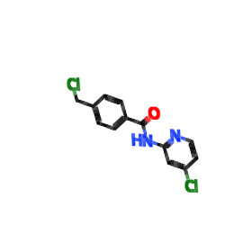 O=C(Nc1cc(Cl)ccn1)c1ccc(CCl)cc1